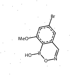 COc1cc(Br)cc2c1B(O)ON=C2